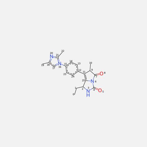 CCC1NC(=O)N2C(=O)C(C)C(c3ccc(-n4cc(C)nc4C)cc3)=C12